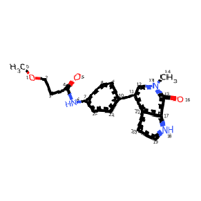 COCCC(=O)Nc1ccc(-c2cn(C)c(=O)c3[nH]ccc23)cc1